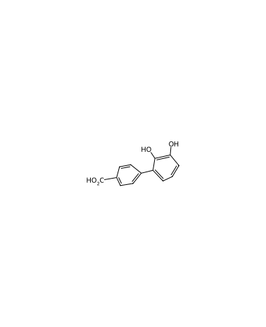 O=C(O)c1ccc(-c2cccc(O)c2O)cc1